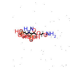 NOCCOCC(ON)C(CCCP(=O)(O)O)P(=O)(O)O